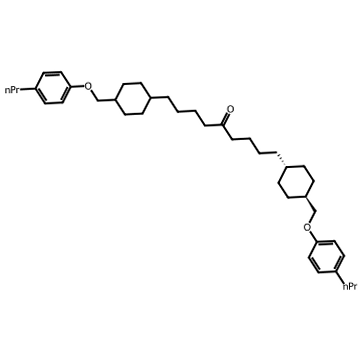 CCCc1ccc(OCC2CCC(CCCCC(=O)CCCC[C@H]3CC[C@H](COc4ccc(CCC)cc4)CC3)CC2)cc1